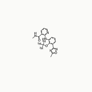 [2H]C([2H])([2H])Oc1c(Nc2ncccc2C(=O)NC)cccc1-c1noc(C)n1